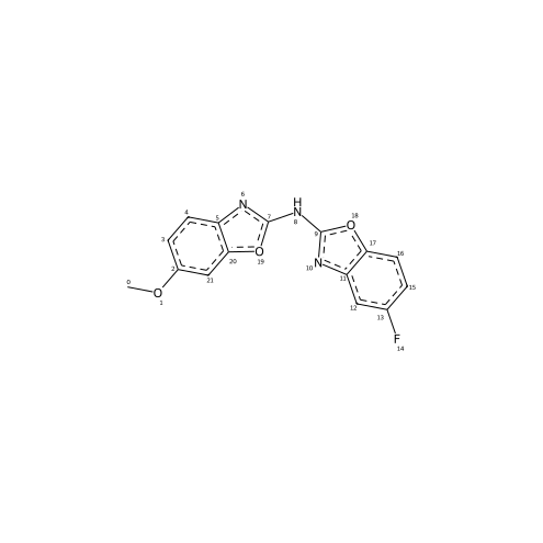 COc1ccc2nc(Nc3nc4cc(F)ccc4o3)oc2c1